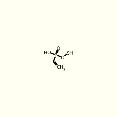 C=CP(=O)(O)OS